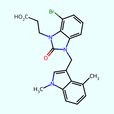 Cc1cccc2c1c(Cn1c(=O)n(CCC(=O)O)c3c(Br)cccc31)cn2C